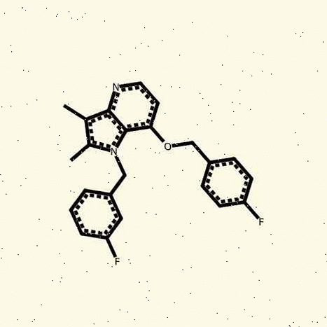 Cc1c(C)n(Cc2cccc(F)c2)c2c(OCc3ccc(F)cc3)ccnc12